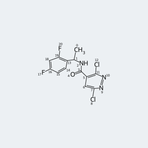 CC(NC(=O)c1cc(Cl)nnc1Cl)c1ccc(F)cc1F